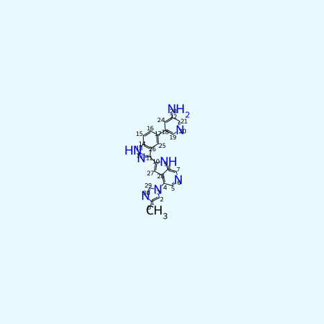 Cc1cn(-c2cncc3[nH]c(-c4n[nH]c5ccc(-c6cncc(N)c6)cc45)cc23)cn1